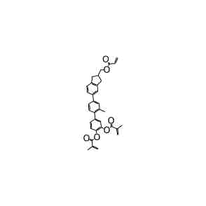 C=CC(=O)OCC1Cc2ccc(-c3ccc(-c4ccc(OC(=O)C(=C)C)c(OC(=O)C(=C)C)c4)c(C)c3)cc2C1